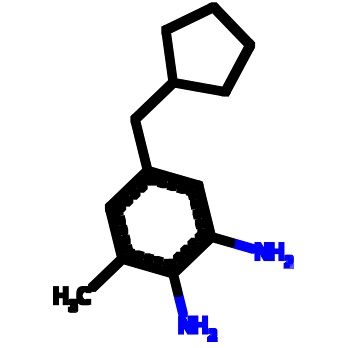 Cc1cc(CC2CCCC2)cc(N)c1N